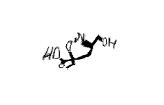 CCC1(C(=O)O)CC(CO)=NO1